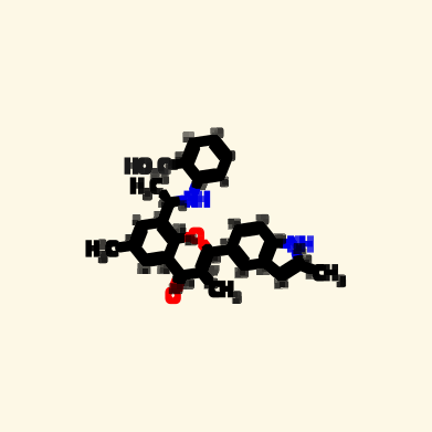 Cc1cc([C@@H](C)Nc2ccccc2C(=O)O)c2oc(-c3ccc4[nH]c(C)cc4c3)c(C)c(=O)c2c1